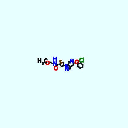 COCCNC(=O)c1cc(-n2ncc3cc(Oc4ccccc4Cl)ncc32)cs1